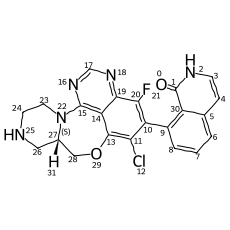 O=c1[nH]ccc2cccc(-c3c(Cl)c4c5c(ncnc5c3F)N3CCNC[C@H]3CO4)c12